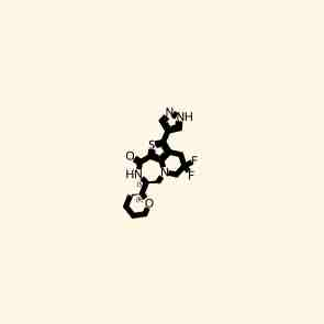 O=C1N[C@H]([C@H]2CCCCO2)CN2CC(F)(F)Cc3c(-c4cn[nH]c4)sc1c32